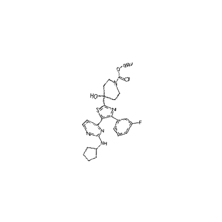 CC(C)(C)OC(=O)N1CCC(O)(c2nc(-c3cccc(F)c3)c(-c3ccnc(NC4CCCC4)n3)s2)CC1